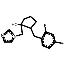 OC1(Cn2ccnc2)CCCC1Cc1ccc(F)cc1F